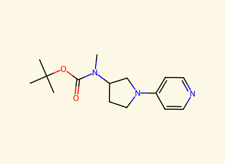 CN(C(=O)OC(C)(C)C)C1CCN(c2ccncc2)C1